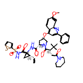 C=C[C@@H]1C[C@]1(NC(=O)[C@@H]1C[C@@H](Oc2cc(-c3ccccc3)nc3cc(OC)ccc23)CN1C(=O)[C@@H](CC(=O)N1CCCCC1)C(C)(C)C)C(=O)NS(=O)(=O)c1cccs1